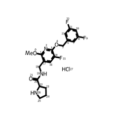 COc1nc(OCc2cc(F)cc(F)c2)c(F)cc1CNC(=O)C1CCCN1.Cl